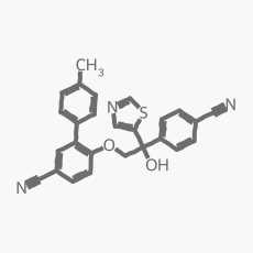 Cc1ccc(-c2cc(C#N)ccc2OCC(O)(c2ccc(C#N)cc2)c2cncs2)cc1